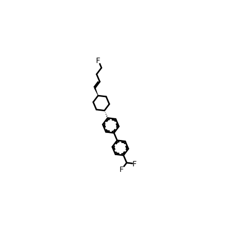 FCC/C=C/[C@H]1CC[C@H](c2ccc(-c3ccc(C(F)F)cc3)cc2)CC1